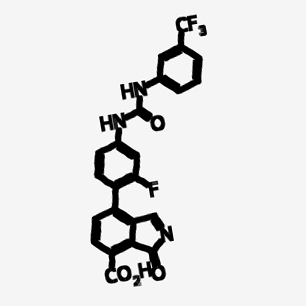 O=C(Nc1cccc(C(F)(F)F)c1)Nc1ccc(-c2ccc(C(=O)O)c3c2C=NC3=O)c(F)c1